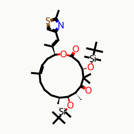 C/C1=C/C[C@@H](/C(C)=C/c2csc(C)n2)OC(=O)C[C@H](O[Si](C)(C)C(C)(C)C)C(C)(C)C(=O)[C@H](C)[C@@H](O[Si](C)(C)C(C)(C)C)[C@@H](C)CCC1